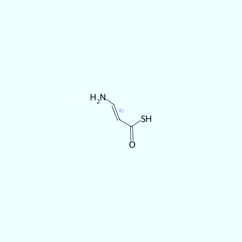 N/C=C/C(=O)S